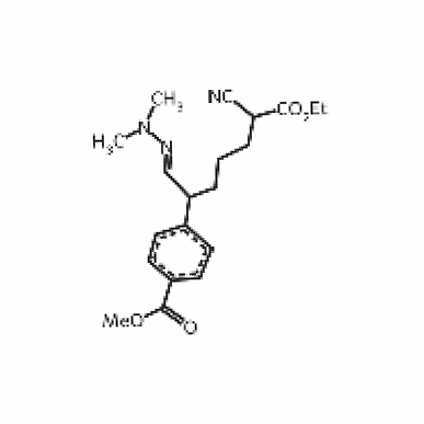 CCOC(=O)C(C#N)CCCC(C=NN(C)C)c1ccc(C(=O)OC)cc1